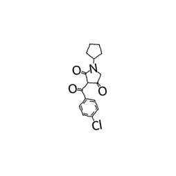 O=C1CN(C2CCCC2)C(=O)C1C(=O)c1ccc(Cl)cc1